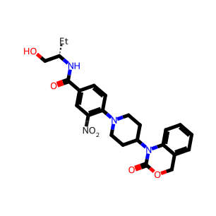 CC[C@@H](CO)NC(=O)c1ccc(N2CCC(N3C(=O)OCc4ccccc43)CC2)c([N+](=O)[O-])c1